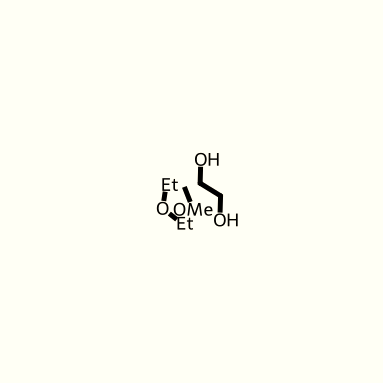 CCOCC.COC.OCCO